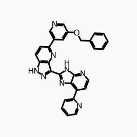 c1ccc(COc2cncc(-c3ccc4[nH]nc(-c5nc6c(-c7ccccn7)ccnc6[nH]5)c4n3)c2)cc1